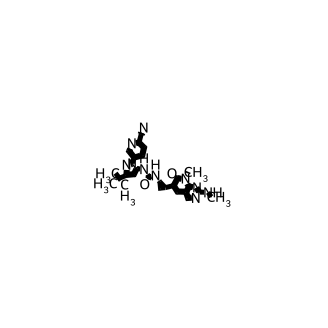 CNc1ncc2cc(C3CC3NC(=O)Nc3cc(C(C)(C)C)nn3-c3ccc(C#N)nc3)c(=O)n(C)c2n1